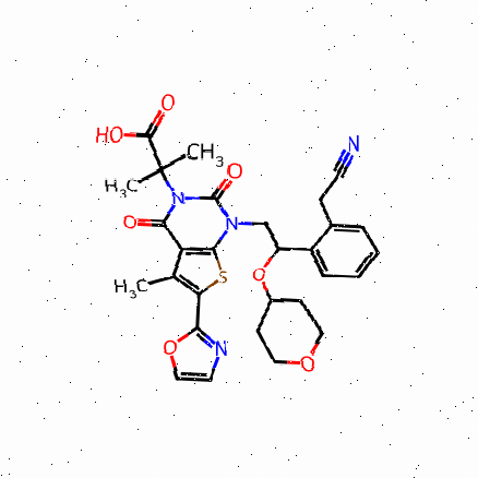 Cc1c(-c2ncco2)sc2c1c(=O)n(C(C)(C)C(=O)O)c(=O)n2CC(OC1CCOCC1)c1ccccc1CC#N